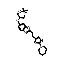 CC1(C)OCC(Oc2ccc3nc(CCc4cnc(N5CCCCCC5)s4)oc3c2)CO1